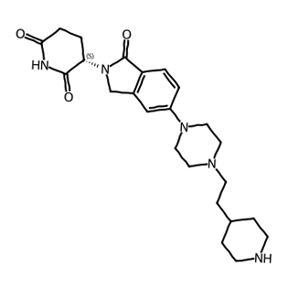 O=C1CC[C@H](N2Cc3cc(N4CCN(CCC5CCNCC5)CC4)ccc3C2=O)C(=O)N1